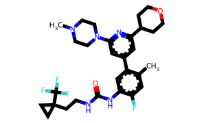 Cc1cc(F)c(NC(=O)NCCC2(C(F)(F)F)CC2)cc1-c1cc(C2CCOCC2)nc(N2CCN(C)CC2)c1